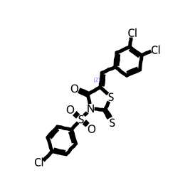 O=C1/C(=C/c2ccc(Cl)c(Cl)c2)SC(=S)N1S(=O)(=O)c1ccc(Cl)cc1